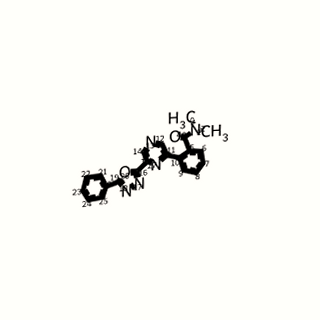 CN(C)C(=O)c1ccccc1-c1cncc(-c2nnc(-c3ccccc3)o2)n1